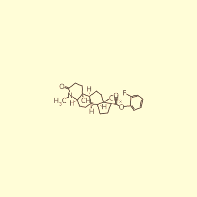 CN1C(=O)CC[C@]2(C)[C@H]3CC[C@]4(C)[C@@H](C(=O)Oc5ccccc5F)CC[C@H]4[C@@H]3CC[C@@H]12